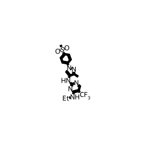 CCNc1nc(Nc2cn(-c3ccc(S(C)(=O)=O)cc3)nc2C)ncc1C(F)(F)F